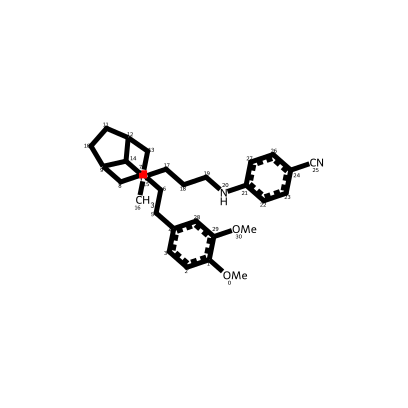 COc1ccc(CCN2CC3CCC(C2)C3N(C)CCCNc2ccc(C#N)cc2)cc1OC